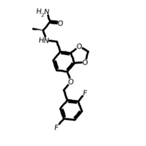 C[C@H](NCc1ccc(OCc2cc(F)ccc2F)c2c1OCO2)C(N)=O